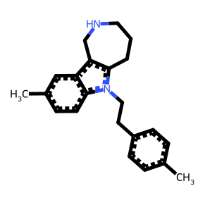 Cc1ccc(CCn2c3c(c4cc(C)ccc42)CNCCC3)cc1